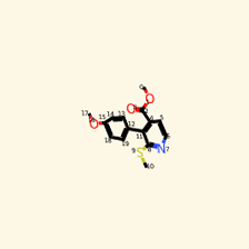 COC(=O)c1ccnc(SC)c1-c1ccc(OC)cc1